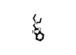 CCN(CC)Cc1nc2ccccc2o1